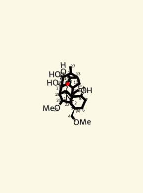 CCN1C[C@]2(COC)CCC(O)C34C5CC6C(O)C5[C@@](O)(C(C(OC)C32)[C@H]14)[C@@H](O)C6C